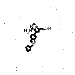 Nc1ncnn2c(CCO)cc(-c3ccc4cn(Cc5ccccc5)nc4c3)c12